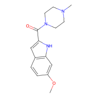 COc1ccc2cc(C(=O)N3CCN(C)CC3)[nH]c2c1